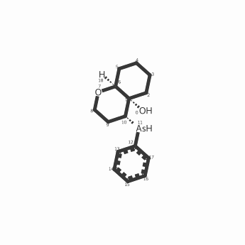 O[C@@]12CCCC[C@@H]1OCC[C@H]2[AsH]c1ccccc1